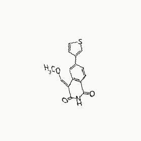 CO/C=C1/C(=O)NC(=O)c2ccc(-c3ccsc3)cc21